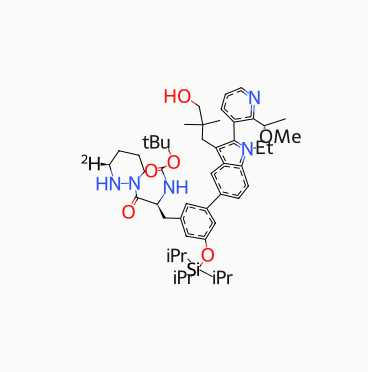 [2H][C@H]1CCCN(C(=O)[C@H](Cc2cc(O[Si](C(C)C)(C(C)C)C(C)C)cc(-c3ccc4c(c3)c(CC(C)(C)CO)c(-c3cccnc3[C@H](C)OC)n4CC)c2)NC(=O)OC(C)(C)C)N1